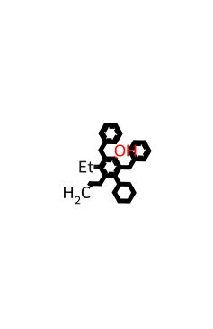 C=CCc1c(CC)c(Cc2ccccc2)c(O)c(Cc2ccccc2)c1C1CCCCC1